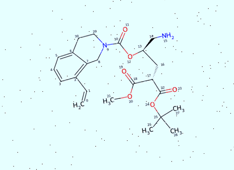 C=Cc1cccc2c1CN(C(=O)O[C@@H](CN)C[C@@H](C(=O)OC)C(=O)OC(C)(C)C)CC2